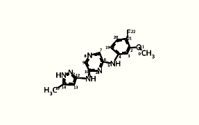 COc1cc(Nc2cncc(Nc3cc(C)[nH]n3)n2)ccc1F